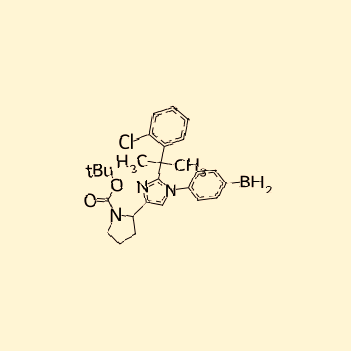 Bc1ccc(-n2cc(C3CCCN3C(=O)OC(C)(C)C)nc2C(C)(C)c2ccccc2Cl)cc1